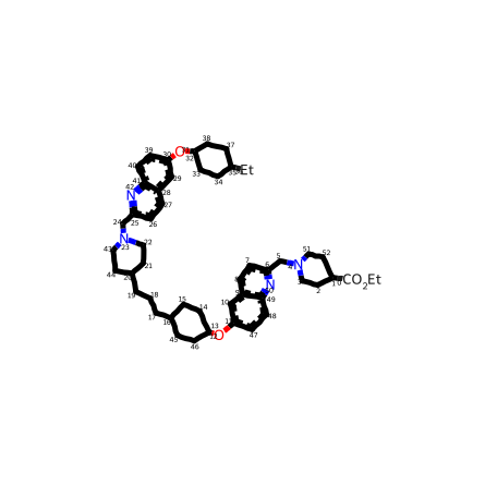 CCOC(=O)C1CCN(Cc2ccc3cc(OC4CCC(CCCC5CCN(Cc6ccc7cc(OC8CCC(CC)CC8)ccc7n6)CC5)CC4)ccc3n2)CC1